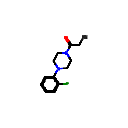 N#CCC(=O)N1CCN(c2ccccc2F)CC1